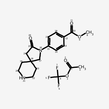 CC(=O)OC(F)(F)F.COC(=O)c1ccc(N2CC3(CCNCC3)CC2=O)cc1